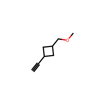 C#CC1CC(COC)C1